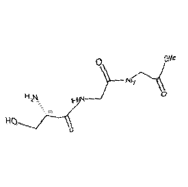 COC(=O)CNC(=O)CNC(=O)[C@@H](N)CO